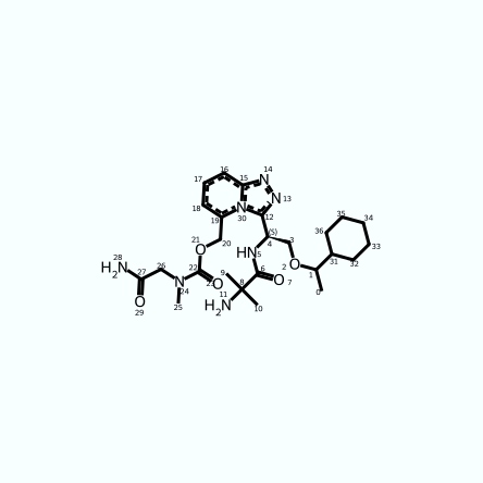 CC(OC[C@@H](NC(=O)C(C)(C)N)c1nnc2cccc(COC(=O)N(C)CC(N)=O)n12)C1CCCCC1